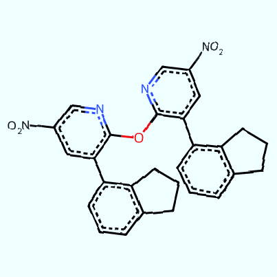 O=[N+]([O-])c1cnc(Oc2ncc([N+](=O)[O-])cc2-c2cccc3c2CCC3)c(-c2cccc3c2CCC3)c1